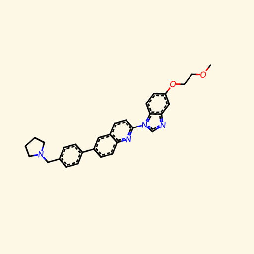 COCCOc1ccc2c(c1)ncn2-c1ccc2cc(-c3ccc(CN4CCCC4)cc3)ccc2n1